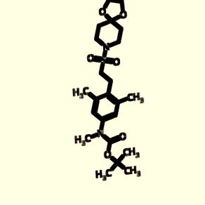 Cc1cc(N(C)C(=O)OC(C)(C)C)cc(C)c1CCS(=O)(=O)N1CCC2(CC1)OCCO2